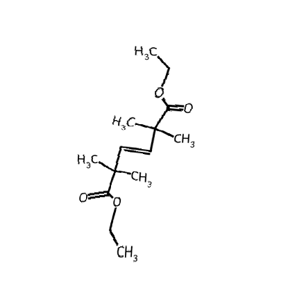 CCOC(=O)C(C)(C)C=CC(C)(C)C(=O)OCC